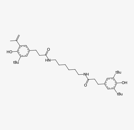 C=C(C)c1cc(CCC(=O)NCCCCCCNC(=O)CCc2cc(C(C)(C)C)c(O)c(C(C)(C)C)c2)cc(C(C)(C)C)c1O